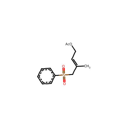 CC(=O)OCC=C(C)CS(=O)(=O)c1ccccc1